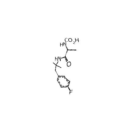 CC(NC(=O)O)C(=O)NC(C)(C)Cc1ccc(F)cc1